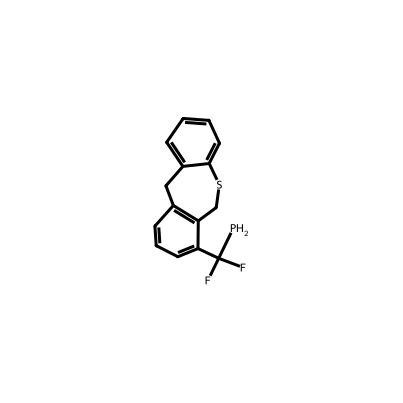 FC(F)(P)c1cccc2c1CSc1ccccc1C2